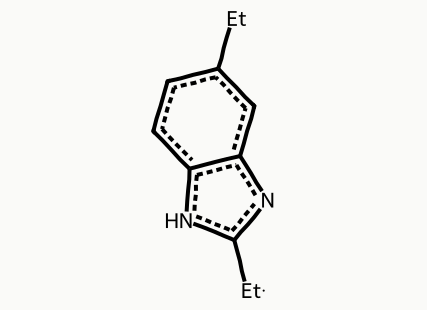 C[CH]c1nc2cc(CC)ccc2[nH]1